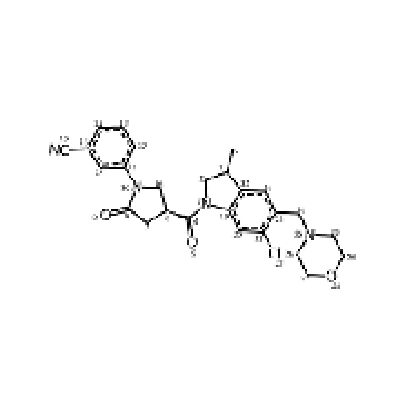 CC1CN(C(=O)[C@H]2CC(=O)N(c3cccc(C#N)c3)C2)c2cc(Cl)c(CN3CCOCC3)cc21